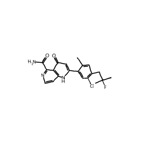 Cc1cc(CC(C)(C)F)c(Cl)cc1-c1cc(=O)c2c(C(N)=O)nccc2[nH]1